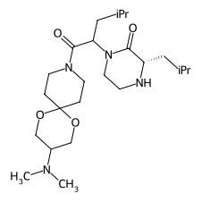 CC(C)CC(C(=O)N1CCC2(CC1)OCC(N(C)C)CO2)N1CCN[C@@H](CC(C)C)C1=O